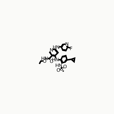 CCONC(=O)c1cnc(Nc2ccc(F)nc2)cc1Nc1ccc(C2CC2)cc1NS(C)(=O)=O